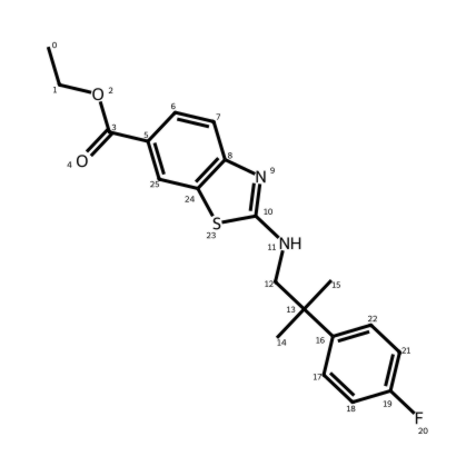 CCOC(=O)c1ccc2nc(NCC(C)(C)c3ccc(F)cc3)sc2c1